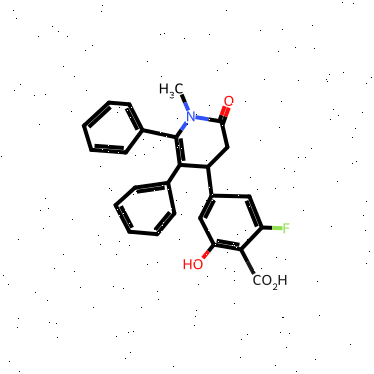 CN1C(=O)CC(c2cc(O)c(C(=O)O)c(F)c2)C(c2ccccc2)=C1c1ccccc1